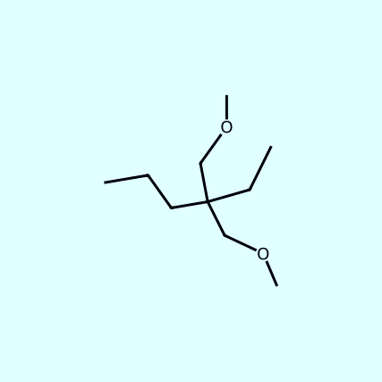 CCCC(CC)(COC)COC